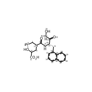 CC(C)CN(CC(O)C(=O)O)C(=O)N[C@@H](Cc1cccc2ccccc12)C(=O)NO